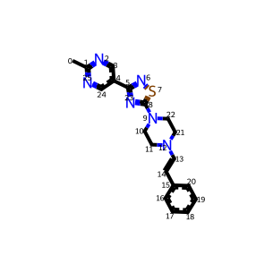 Cc1ncc(-c2nsc(N3CCN(C=Cc4ccccc4)CC3)n2)cn1